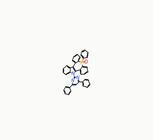 O=P1(c2ccccc2)c2ccccc2-c2c(n(-c3nc(-c4ccccc4)cc(-c4ccccc4)n3)c3ccccc23)-c2ccccc21